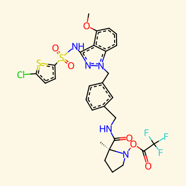 COc1cccc2c1c(NS(=O)(=O)c1ccc(Cl)s1)nn2Cc1cccc(CNC(=O)[C@]2(C)CCCN2OC(=O)C(F)(F)F)c1